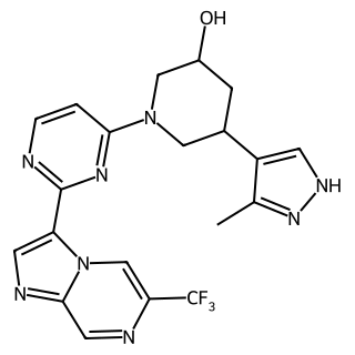 Cc1n[nH]cc1C1CC(O)CN(c2ccnc(-c3cnc4cnc(C(F)(F)F)cn34)n2)C1